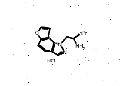 CCCC(N)Cn1ncc2ccc3occc3c21.Cl